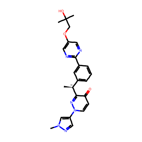 C[C@@H](c1cccc(-c2ncc(OCC(C)(C)O)cn2)c1)c1nn(-c2cnn(C)c2)ccc1=O